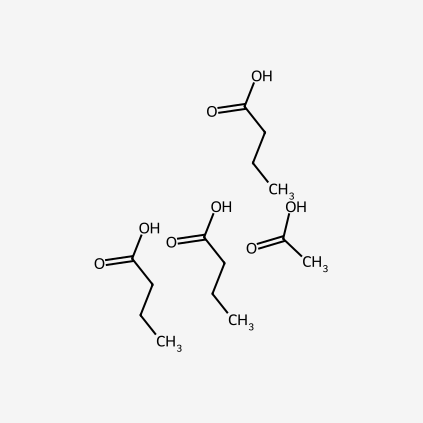 CC(=O)O.CCCC(=O)O.CCCC(=O)O.CCCC(=O)O